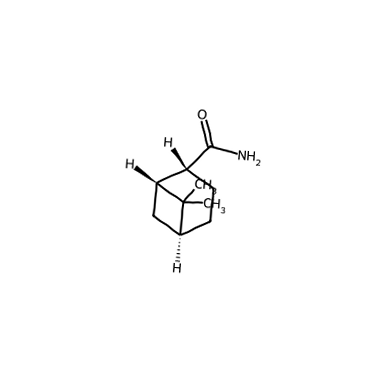 CC1(C)[C@H]2CC[C@@H](C(N)=O)[C@H]1C2